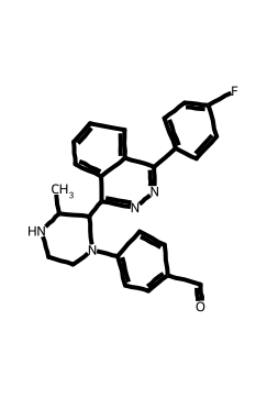 CC1NCCN(c2ccc(C=O)cc2)C1c1nnc(-c2ccc(F)cc2)c2ccccc12